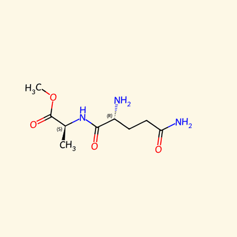 COC(=O)[C@H](C)NC(=O)[C@H](N)CCC(N)=O